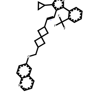 FC(F)(F)c1ccccc1-c1noc(C2CC2)c1/C=C/C1CC2(C1)CC(COc1ccc3ncccc3c1)C2